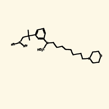 CCCN(CCC)CC(C)(C)c1cccc(N(CCCCCCCCN2CCOCC2)C(=O)O)c1